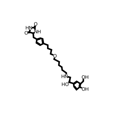 O=C1NC(=O)C(Cc2ccc(CCCCOCCCCCCNC[C@@H](O)c3ccc(O)c(CO)c3)cc2)N1